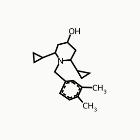 Cc1ccc(CN2C(C3CC3)CC(O)CC2C2CC2)cc1C